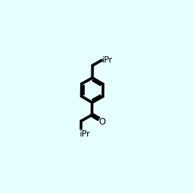 CC(C)CC(=O)c1ccc(CC(C)C)cc1